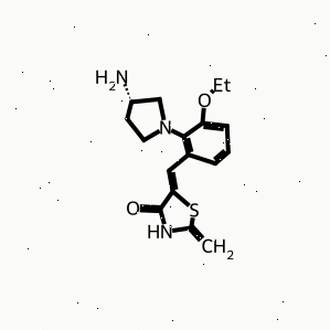 C=c1[nH]c(=O)/c(=C/c2cccc(OCC)c2N2CC[C@H](N)C2)s1